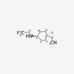 C[C@]1(CC#N)CC[C@@H](NCC(F)(F)F)CC1